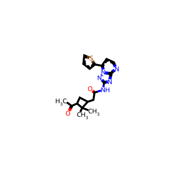 CC(=O)C1CC(CC(=O)Nc2nc3nccc(-c4cccs4)n3n2)C1(C)C